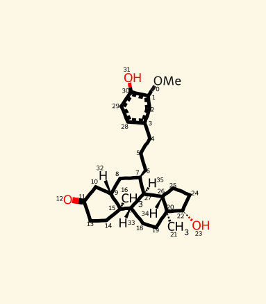 COc1cc(CCC[C@@H]2C[C@H]3CC(=O)CC[C@]3(C)[C@H]3CC[C@]4(C)[C@@H](O)CC[C@H]4[C@H]23)ccc1O